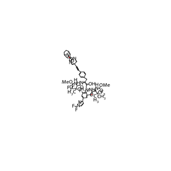 COC(=O)NC(C(=O)N[C@@H](Cc1ccc(C#Cc2cnc(N3CC4CCC(C3)N4C3COC3)nc2)cc1)[C@@H](O)CN(NC(=O)[C@@H](NC(=O)OC)C(C)(C)C(F)(F)F)c1c(F)cc(-c2ccn(C(F)F)n2)cc1F)C(C)(C)C(F)(F)F